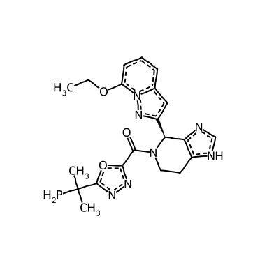 CCOc1cccc2cc([C@H]3c4nc[nH]c4CCN3C(=O)c3nnc(C(C)(C)P)o3)nn12